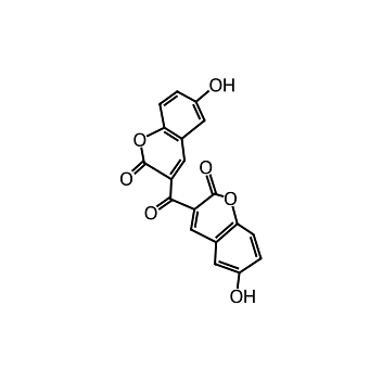 O=C(c1cc2cc(O)ccc2oc1=O)c1cc2cc(O)ccc2oc1=O